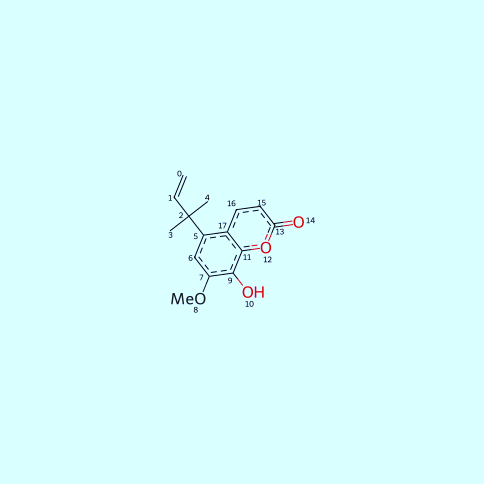 C=CC(C)(C)c1cc(OC)c(O)c2oc(=O)ccc12